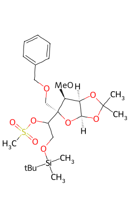 CO[C@H]1[C@H]2OC(C)(C)O[C@H]2O[C@@]1(COCc1ccccc1)C(CO[Si](C)(C)C(C)(C)C)OS(C)(=O)=O